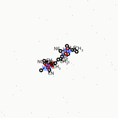 CC1(C)c2ccccc2-c2cc3c(cc21)c1ccccc1n3-c1ccc(C#N)cc1-c1nc(-c2ccccc2)nc(-c2cc(C#N)ccc2-n2c3ccccc3c3cc4c(cc32)-c2ccc(-c3ccc5c(c3)-c3ccc6c(c3C5(C)C)c3ccccc3n6-c3ccc(C#N)cc3-c3nc(-c5ccccc5)nc(-c5cc(C#N)ccc5-n5c6ccccc6c6c7c(ccc65)C5C=CC=CC5C7(C)C)n3)cc2C4(C)C)n1